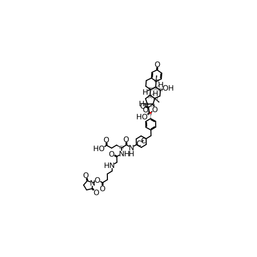 C[C@]12C=CC(=O)C=C1CC[C@@H]1[C@@H]2[C@@H](O)C[C@@]2(C)[C@H]1C[C@H]1O[C@@H](c3ccc(CC45CCC(NC(=O)[C@H](CCC(=O)O)NC(=O)CNCCCC(=O)ON6C(=O)CCC6=O)(CC4)CC5)cc3)O[C@]12C(=O)CO